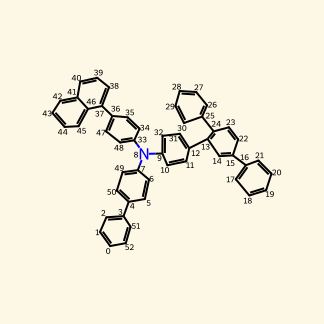 c1ccc(-c2ccc(N(c3ccc(-c4cc(-c5ccccc5)ccc4-c4ccccc4)cc3)c3ccc(-c4cccc5ccccc45)cc3)cc2)cc1